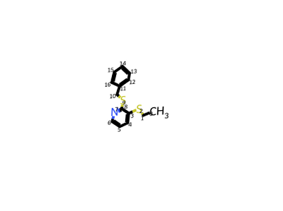 CCSc1cccnc1SCc1ccccc1